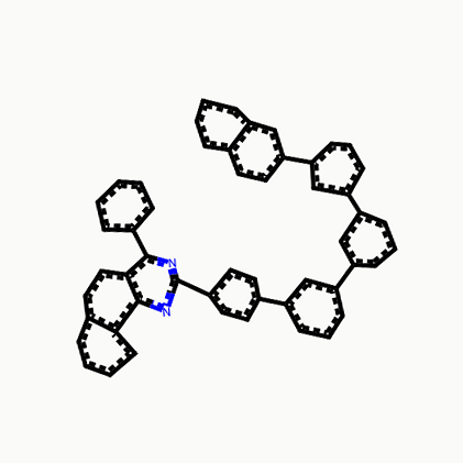 c1ccc(-c2nc(-c3ccc(-c4cccc(-c5cccc(-c6cccc(-c7ccc8ccccc8c7)c6)c5)c4)cc3)nc3c2ccc2ccccc23)cc1